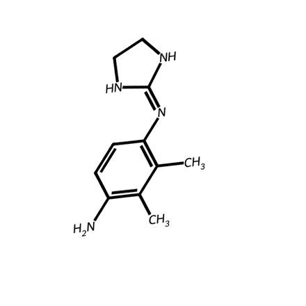 Cc1c(N)ccc(N=C2NCCN2)c1C